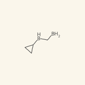 BCBC1CC1